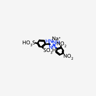 O=[N+]([O-])c1ccc(N2N=C(c3ccc(S(=O)(=O)O)cc3S(=O)(=O)O)NN2)c([N+](=O)[O-])c1.[Na+]